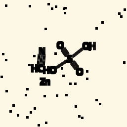 C#N.O=S(=O)(O)O.[Zn]